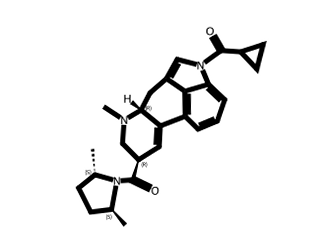 C[C@H]1CC[C@H](C)N1C(=O)[C@@H]1C=C2c3cccc4c3c(cn4C(=O)C3CC3)C[C@H]2N(C)C1